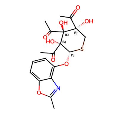 CC(=O)[C@]1(O)[C@@](O)(C(C)=O)CS[C@H](Oc2cccc3oc(C)nc23)[C@@]1(O)C(C)=O